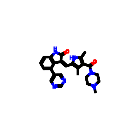 Cc1[nH]c(C=C2C(=O)Nc3cccc(-c4cncnc4)c32)c(C)c1C(=O)N1CCN(C)CC1